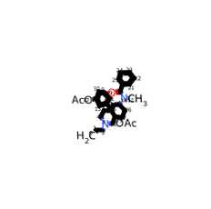 C=CCN1CCC2(c3cccc(OC(C)=O)c3)CC(N(C)C(=O)c3ccccc3)CCC2(OC(C)=O)C1